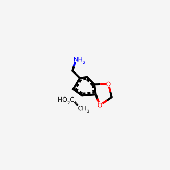 CC(=O)O.NCc1ccc2c(c1)OCO2